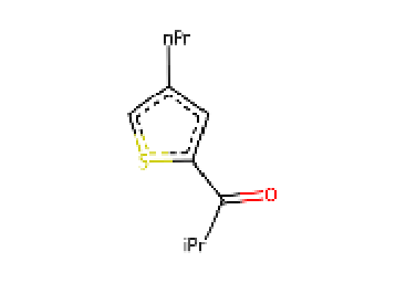 CCCc1csc(C(=O)C(C)C)c1